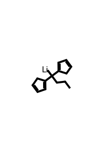 [Li][C](CCC)(C1=CC=CC1)C1=CC=CC1